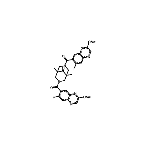 COc1cnc2cc(I)c(C(=O)N3CC4(C)CN(C(=O)c5cc6nc(OC)cnc6cc5I)CC(C)(C3)C4=O)cc2n1